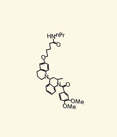 CCCNC(=O)CCCCOc1ccc2c(c1)CCCN2C1CC(C)N(C(=O)c2ccc(OC)c(OC)c2)c2ccccc21